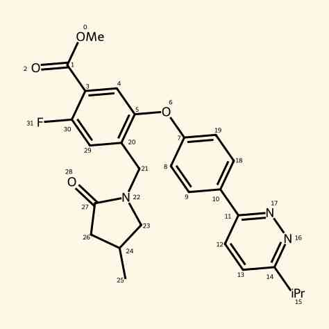 COC(=O)c1cc(Oc2ccc(-c3ccc(C(C)C)nn3)cc2)c(CN2CC(C)CC2=O)cc1F